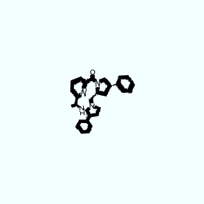 CC(N)c1cccc(C(=O)N2C[C@H](c3ccccc3)C[C@H]2CN2CCC(c3ccccc3)C2)n1